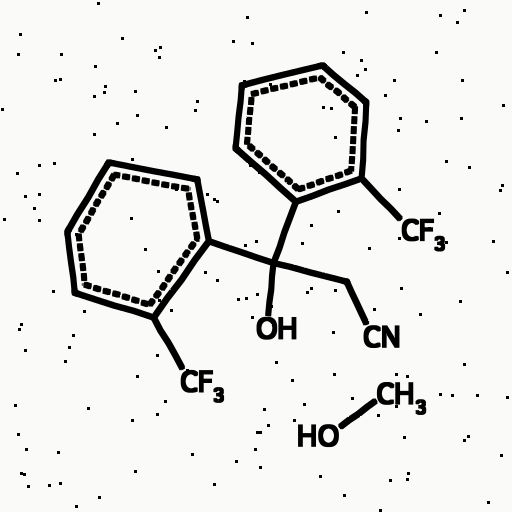 CO.N#CCC(O)(c1ccccc1C(F)(F)F)c1ccccc1C(F)(F)F